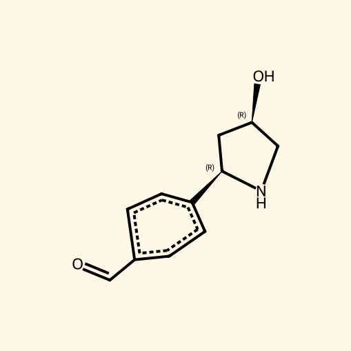 O=Cc1ccc([C@H]2C[C@@H](O)CN2)cc1